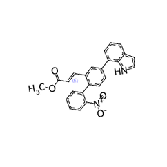 COC(=O)/C=C/c1cc(-c2cccc3cc[nH]c23)ccc1-c1ccccc1[N+](=O)[O-]